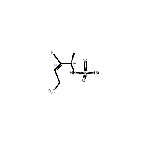 C[C@@H](NS(=O)(=O)C(C)(C)C)/C(F)=C\CC(=O)O